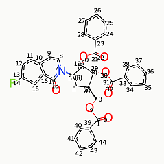 O=C(OC[C@H]1C[C@@H](n2ccc3ccc(F)cc3c2=O)[C@H](OC(=O)c2ccccc2)[C@@H]1OC(=O)c1ccccc1)c1ccccc1